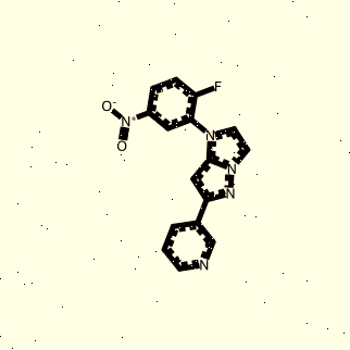 O=[N+]([O-])c1ccc(F)c(-n2ccn3nc(-c4cccnc4)cc23)c1